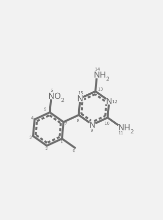 Cc1cccc([N+](=O)[O-])c1-c1nc(N)nc(N)n1